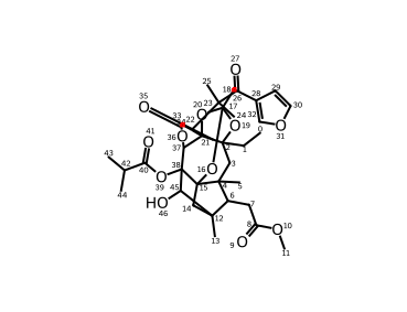 CCC12CC3(C)C(CC(=O)OC)C4(C)CC35OC(C)(O1)OC21C(C(C)(C)C(=O)c2ccoc2)CC(=O)OC1C5(OC(=O)C(C)C)C4O